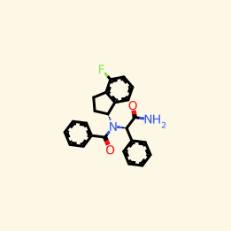 NC(=O)[C@@H](c1ccccc1)N(C(=O)c1ccccc1)[C@@H]1CCc2c(F)cccc21